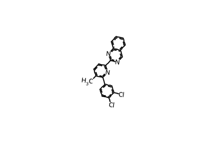 Cc1ccc(-c2ncc3ccccc3n2)nc1-c1ccc(Cl)c(Cl)c1